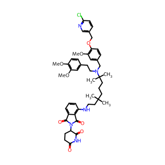 COc1ccc(CCN(Cc2ccc(OCc3ccc(Cl)nc3)c(OC)c2)C(C)(C)CCCC(C)(C)CCNc2cccc3c2C(=O)N(C2CCC(=O)NC2=O)C3=O)cc1OC